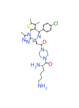 Cc1sc2c(c1C)C(c1ccc(Cl)cc1)=N[C@@H](CC(=O)N1CCN(C(=O)C(N)CCCCN)CC1)c1nnc(C)n1-2